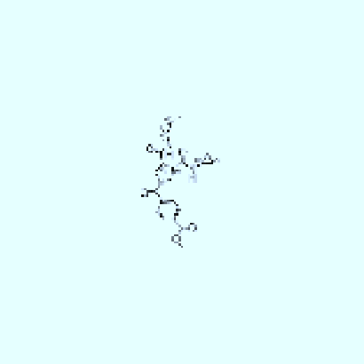 COC(=O)c1ccc(C(=O)N2C[C@@H](C(=O)N[C@H]3C[C@@H]3C)[C@H](C(=O)N[C@H]3C[C@@H]3C)C2)cc1